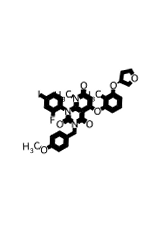 COc1ccc(Cn2c(=O)c3c(Oc4cccc(O[C@@H]5CCOC5)c4C)cc(=O)n(C)c3n(-c3ccc(I)cc3F)c2=O)cc1